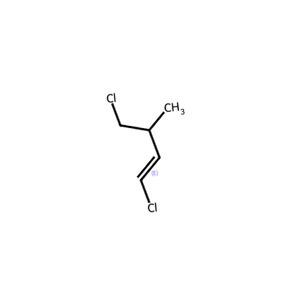 CC(/C=C/Cl)CCl